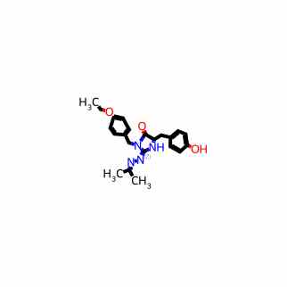 CCOc1ccc(CN2C(=O)C(Cc3ccc(O)cc3)N/C2=N/N=C(C)C)cc1